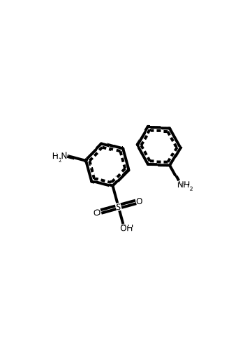 Nc1cccc(S(=O)(=O)O)c1.Nc1ccccc1